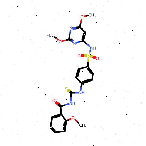 COc1cc(NS(=O)(=O)c2ccc(NC(=S)NC(=O)c3ccccc3OC)cc2)nc(OC)n1